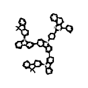 CC1(C)c2ccccc2-c2ccc(-n3c4ccccc4c4ccc(-c5ccc6c(c5)c5cc(-c7ccc8c9ccccc9n(-c9ccc%10c(c9)C(C)(C)c9ccccc9-%10)c8c7)ccc5n6-c5ccc(-c6nc(-c7ccccc7)c7ccc8ccccc8c7n6)cc5)cc43)cc21